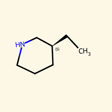 CC[C@H]1CCCNC1